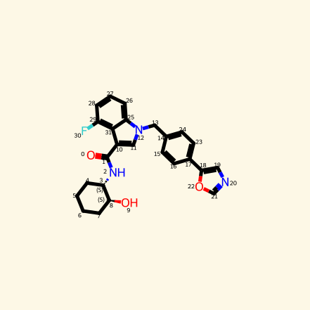 O=C(N[C@H]1CCCC[C@@H]1O)c1cn(Cc2ccc(-c3cnco3)cc2)c2cccc(F)c12